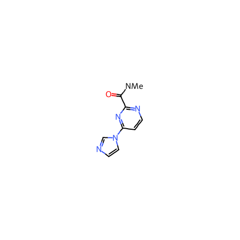 CNC(=O)c1nccc(-n2ccnc2)n1